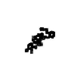 CC(C)(C)SSc1ccccc1CCOP1(=O)OC[C@H]2O[C@@H](n3ccc(=O)[nH]c3=O)[C@](C)(O)[C@@H]2O1